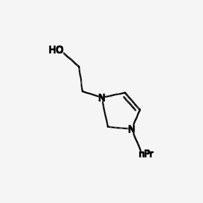 CCCN1C=CN(CCO)C1